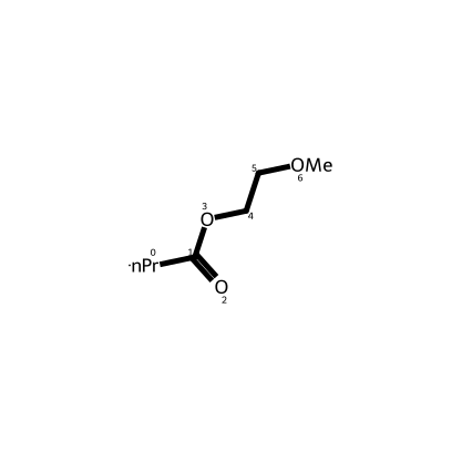 CC[CH]C(=O)OCCOC